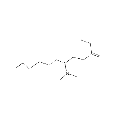 C=C(CC)CCN(CCCCCC)N(C)C